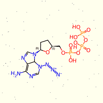 [N-]=[N+]=NN1C=NC(N)=C2N=CN([C@H]3CC[C@@H](COP(=O)(O)OP(=O)(O)OP(=O)(O)O)O3)C21